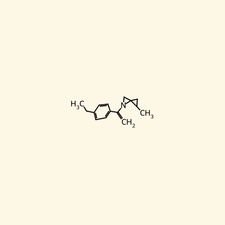 C=C(c1ccc(CC)cc1)N1CC12CC2C